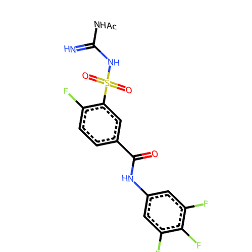 CC(=O)NC(=N)NS(=O)(=O)c1cc(C(=O)Nc2cc(F)c(F)c(F)c2)ccc1F